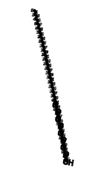 CCCCCCCCCCCCCCCCCCCCCCCCCCCCCCCCCCCCCCCCCCOCCOCCOCCOCCOCCOCCOCCOCCO